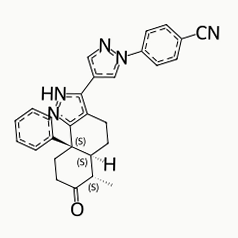 C[C@@H]1C(=O)CC[C@]2(c3ccccc3)c3n[nH]c(-c4cnn(-c5ccc(C#N)cc5)c4)c3CC[C@@H]12